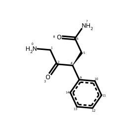 NCC(=O)[C@@H](CC(N)=O)c1ccccc1